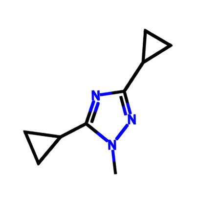 Cn1nc(C2CC2)nc1C1CC1